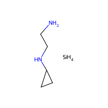 NCCNC1CC1.[SiH4]